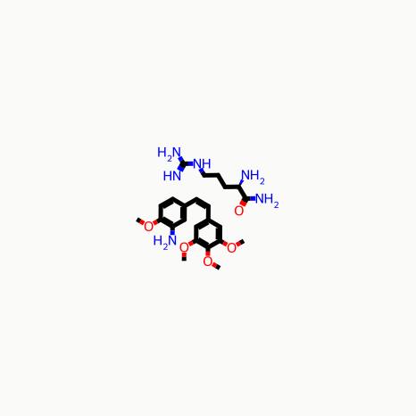 COc1ccc(/C=C\c2cc(OC)c(OC)c(OC)c2)cc1N.N=C(N)NCCC[C@@H](N)C(N)=O